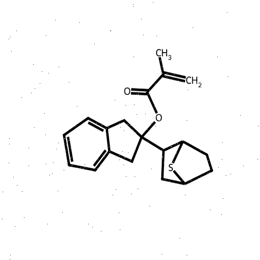 C=C(C)C(=O)OC1(C2CC3CCC2S3)Cc2ccccc2C1